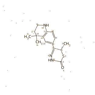 CC1SC(=O)NN=C1c1ccc2c(c1)C(C)(C)CCN2